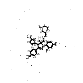 CN1CCOC(CNC(=O)C2(C)C(c3ccc(Cl)o3)C(c3ccc(Cl)cc3)=NN2c2ccc(F)cc2F)C1